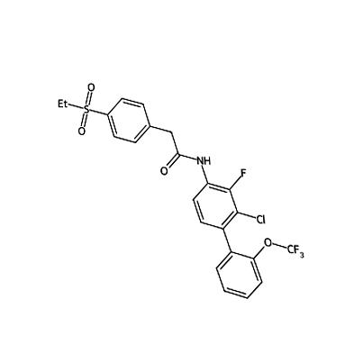 CCS(=O)(=O)c1ccc(CC(=O)Nc2ccc(-c3ccccc3OC(F)(F)F)c(Cl)c2F)cc1